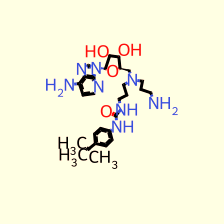 CC(C)(C)c1ccc(NC(=O)NCCCN(CCCN)C[C@H]2O[C@@H](n3cnc4c(N)ccnc43)[C@H](O)[C@@H]2O)cc1